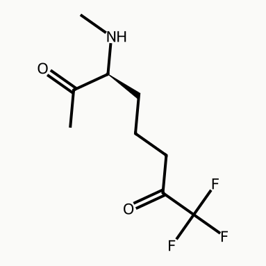 CN[C@@H](CCCC(=O)C(F)(F)F)C(C)=O